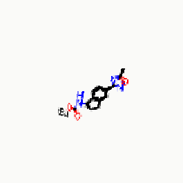 Cc1nc(-c2ccc3c(c2)CC[C@H]3NC(=O)OC(C)(C)C)no1